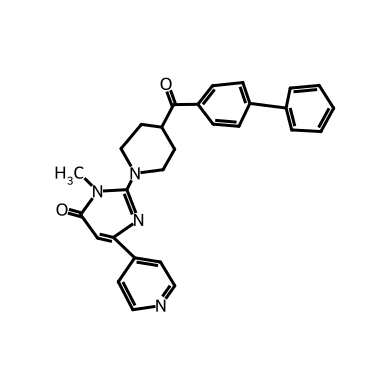 Cn1c(N2CCC(C(=O)c3ccc(-c4ccccc4)cc3)CC2)nc(-c2ccncc2)cc1=O